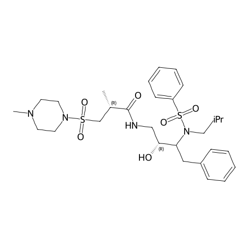 CC(C)CN(C(Cc1ccccc1)[C@H](O)CNC(=O)[C@@H](C)CS(=O)(=O)N1CCN(C)CC1)S(=O)(=O)c1ccccc1